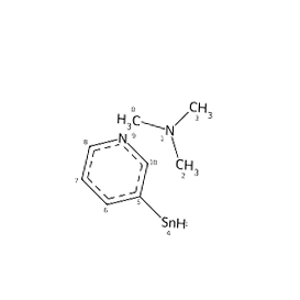 CN(C)C.[SnH][c]1cccnc1